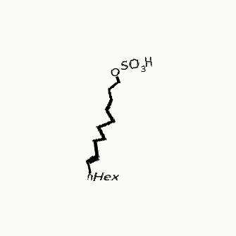 CCCCCC/C=C/CCCCCCCCOS(=O)(=O)O